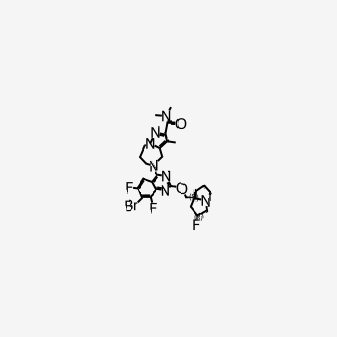 Cc1c(C(=O)N(C)C)nn2c1CN(c1nc(OC[C@@]34CCCN3C[C@H](F)C4)nc3c(F)c(Br)c(F)cc13)CCC2